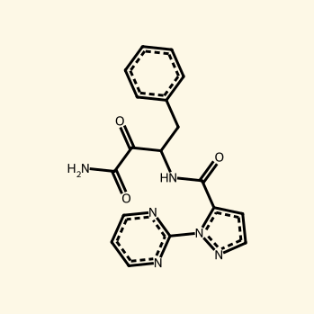 NC(=O)C(=O)C(Cc1ccccc1)NC(=O)c1ccnn1-c1ncccn1